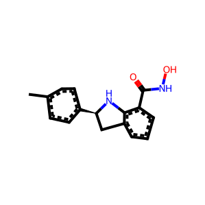 Cc1ccc([C@@H]2Cc3cccc(C(=O)NO)c3N2)cc1